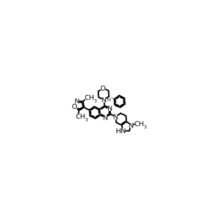 Cc1noc(C)c1-c1ccc2nc(N3CCC4=C(C3)NCN4C)nc(N3CCOC[C@@H]3c3ccccc3)c2c1